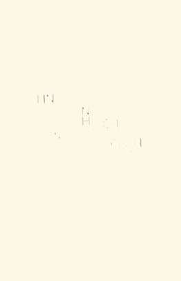 CC(=O)O.N=C(N)SC1CCCCC1